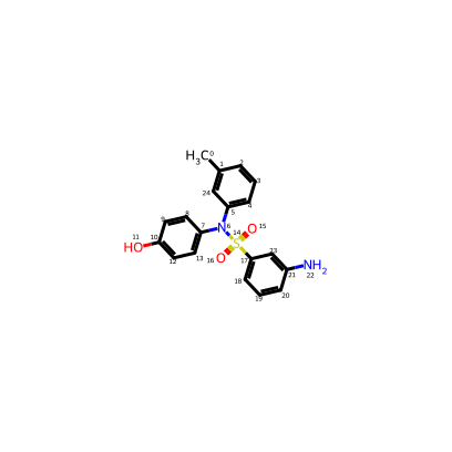 Cc1cccc(N(c2ccc(O)cc2)S(=O)(=O)c2cccc(N)c2)c1